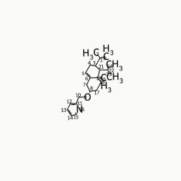 CC(C)C1CC=C2C[C@@H](OCc3ccccn3)CC[C@]2(C)C1C(C)C